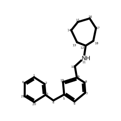 c1ccc(Cc2cccc(CNC3CCCCCC3)c2)cc1